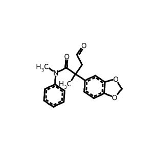 CN(C(=O)C(C)(CC=O)c1ccc2c(c1)OCO2)c1ccccc1